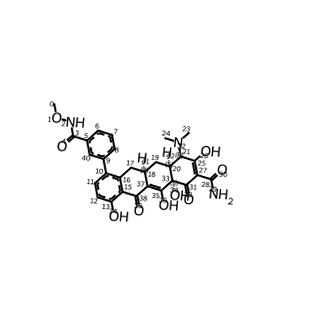 CONC(=O)c1cccc(-c2ccc(O)c3c2C[C@H]2C[C@H]4[C@@H](N(C)C)C(O)=C(C(N)=O)C(=O)[C@@]4(O)C(O)=C2C3=O)c1